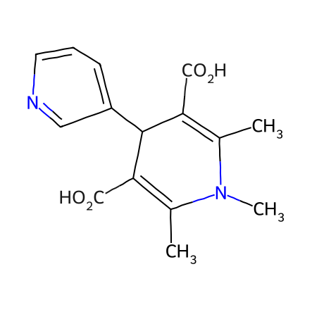 CC1=C(C(=O)O)C(c2cccnc2)C(C(=O)O)=C(C)N1C